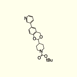 CC(C)(C)OC(=O)N1CCC(C2OCc3cc(-c4cccnc4)ccc3O2)CC1